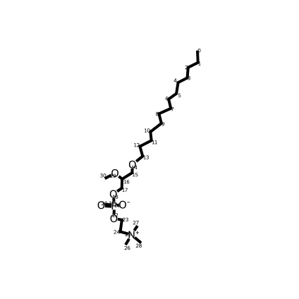 CCCCCCCCCCCCCCOCC(COP(=O)([O-])OCC[N+](C)(C)C)OC